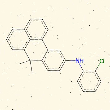 CC1(C)c2ccc(Nc3ccccc3Cl)cc2-c2cccc3cccc1c23